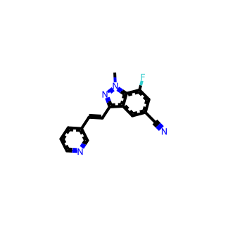 Cn1nc(/C=C/c2cccnc2)c2cc(C#N)cc(F)c21